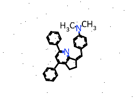 CN(C)c1ccc(/C=C2/CCc3c(-c4ccccc4)cc(-c4ccccc4)nc32)cc1